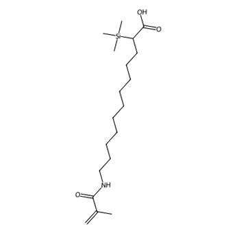 C=C(C)C(=O)NCCCCCCCCCCC(C(=O)O)[Si](C)(C)C